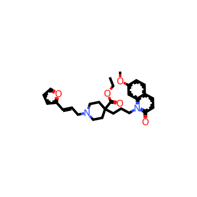 CCOC(=O)C1(CCCn2c(=O)ccc3ccc(OC)cc32)CCN(CC=Cc2ccco2)CC1